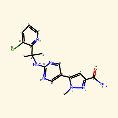 Cn1nc(C(N)=O)cc1-c1cnc(NC(C)(C)c2ncccc2Cl)nc1